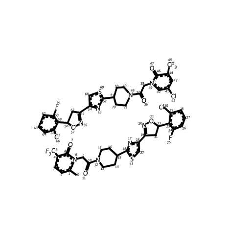 Cc1ccc(C(F)(F)F)c(=O)n1CC(=O)N1CCC(c2nc(C3=NOC(c4c(F)cccc4Cl)C3)cs2)CC1.O=C(Cn1cc(Cl)cc(C(F)(F)F)c1=O)N1CCC(c2nc(C3=NOC(c4c(F)cccc4Cl)C3)cs2)CC1